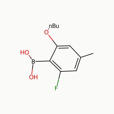 CCCCOc1cc(C)cc(F)c1B(O)O